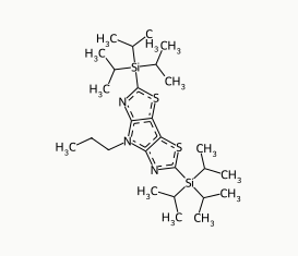 CCCn1c2nc([Si](C(C)C)(C(C)C)C(C)C)sc2c2sc([Si](C(C)C)(C(C)C)C(C)C)nc21